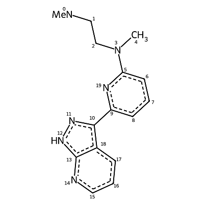 CNCCN(C)c1cccc(-c2n[nH]c3ncccc23)n1